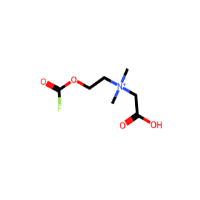 C[N+](C)(CCOC(=O)F)CC(=O)O